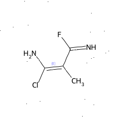 C/C(C(=N)F)=C(/N)Cl